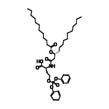 CCCCCCCCCCCC(=O)O[C@H](CCCCCCCCCCC)CC(=O)N[C@@H](CCOP(=O)(Oc1ccccc1)Oc1ccccc1)C(=O)O